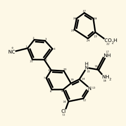 N#Cc1cccc(-c2ccc3c(Cl)cnc(NC(=N)N)c3c2)c1.O=C(O)c1ccccc1